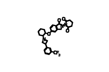 O=C1c2ccc(O[C@@H]3CCCC[C@@H]3N3CC(c4cccc(C(F)(F)F)c4)C3)cc2CN1N1C(=O)CCCC1=O